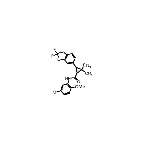 COc1ccc(Cl)cc1NC(=O)C1C(c2ccc3c(c2)OC(F)(F)O3)C1(C)C